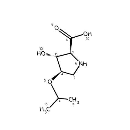 CC(C)O[C@@H]1CN[C@H](C(=O)O)[C@H]1O